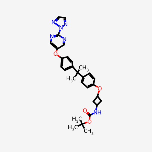 CC(C)(C)OC(=O)NC1CC(Oc2ccc(C(C)(C)c3ccc(Oc4cnc(-n5nccn5)nc4)cc3)cc2)C1